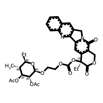 CC[C@H]1O[C@@H](OCCOC(=O)O[C@]2(CC)C(=O)OCc3c2cc2n(c3=O)Cc3cc4ccccc4nc3-2)[C@H](OC(C)=O)[C@@H](OC(C)=O)[C@@H]1C